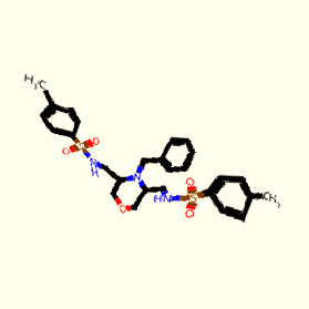 Cc1ccc(S(=O)(=O)NCC2COCC(CNS(=O)(=O)c3ccc(C)cc3)N2Cc2ccccc2)cc1